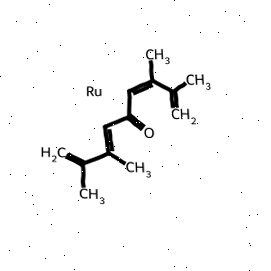 C=C(C)C(C)=CC(=O)C=C(C)C(=C)C.[Ru]